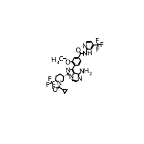 CCOc1cc(C(=O)Nc2cc(C(F)(F)F)ccn2)ccc1-c1nc([C@H]2CC[C@H](C(F)(F)F)N(C(=O)C3CC3)C2)n2ccnc(N)c12